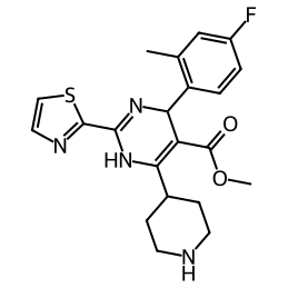 COC(=O)C1=C(C2CCNCC2)NC(c2nccs2)=NC1c1ccc(F)cc1C